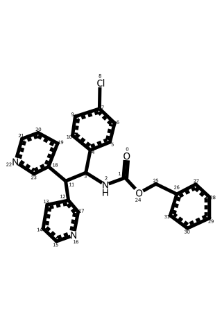 O=C(NC(c1ccc(Cl)cc1)C(c1cccnc1)c1cccnc1)OCc1ccccc1